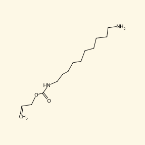 C=CCOC(=O)NCCCCCCCCCCN